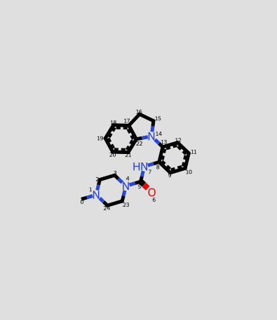 CN1CCN(C(=O)Nc2ccccc2N2CCc3ccccc32)CC1